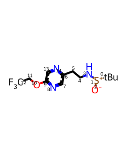 CC(C)(C)[S+]([O-])NCCc1cnc(OCC(F)(F)F)cn1